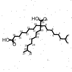 CC(C)CCCCCCC(CCCCCCCC(=O)O)(CCCCCCC(C)C)C(=O)O